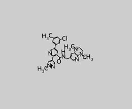 Cc1cc(Cl)cc(-c2cnc(-c3cnn(C)c3)c(C(=O)NCc3cnc4c(c3)N(C)CCN4C)c2)c1